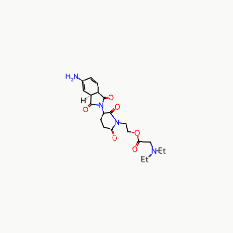 CCN(CC)CC(=O)OCCN1C(=O)CCC(N2C(=O)C3C=CC(N)=C[C@@H]3C2=O)C1=O